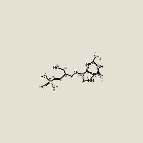 Nc1nc2c(c(=O)[nH]1)NCN2OCC(C=CP(=O)(O)O)CO